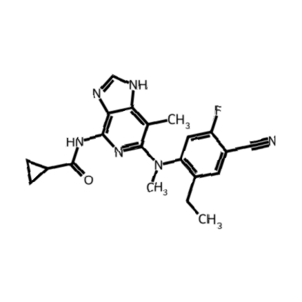 CCc1cc(C#N)c(F)cc1N(C)c1nc(NC(=O)C2CC2)c2nc[nH]c2c1C